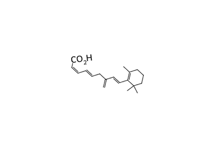 C=C(/C=C/C1=C(C)CCCC1(C)C)C/C=C/C=C\C(=O)O